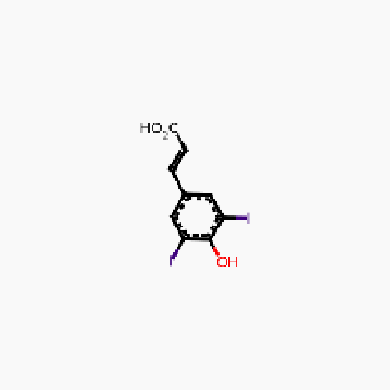 O=C(O)C=Cc1cc(I)c(O)c(I)c1